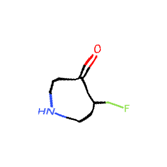 O=C1CNCC1F